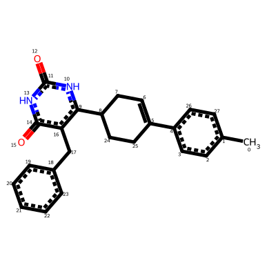 Cc1ccc(C2=CCC(c3[nH]c(=O)[nH]c(=O)c3Cc3ccccc3)CC2)cc1